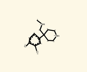 CNCC1(c2ccc(Cl)c(Cl)c2)CCNCC1